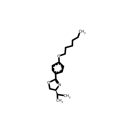 CCCCCCOc1ccc(C2=N[C@@H](C(C)C)CO2)cc1